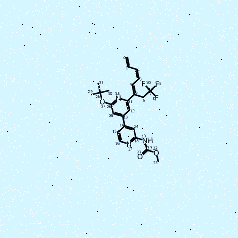 C=C/C=C\C=C(/CC(F)(F)F)c1cc(-c2ccnc(NC(=O)OC)c2)cc(OC(C)(C)C)n1